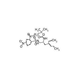 C=C/C=C(\C=C)C[C@@H](CNS(=O)(=O)c1ccc([N+](=O)[O-])cc1[N+](=O)[O-])NC(=O)OC(C)(C)C